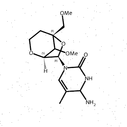 COC[C@]12CCO[C@@H](C1OC)[C@H](N1C=C(C)C(N)NC1=O)O2